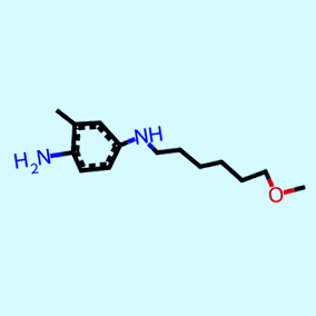 COCCCCCCNc1ccc(N)c(C)c1